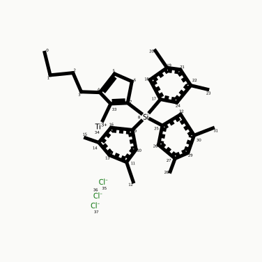 CCCCC1=CCC([Si](c2cc(C)cc(C)c2)(c2cc(C)cc(C)c2)c2cc(C)cc(C)c2)=[C]1[Ti+3].[Cl-].[Cl-].[Cl-]